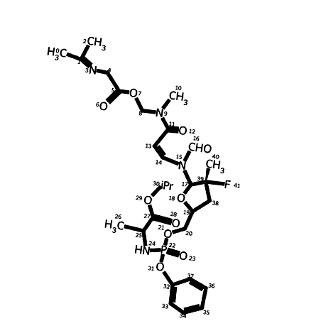 CC(C)=NCC(=O)OCN(C)C(=O)/C=C\N(C=O)C1OC(COP(=O)(NC(C)C(=O)OC(C)C)Oc2ccccc2)C[C@@]1(C)F